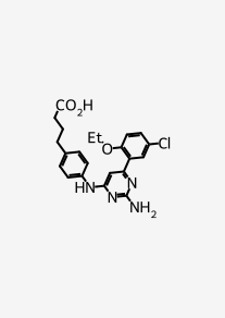 CCOc1ccc(Cl)cc1-c1cc(Nc2ccc(CCCC(=O)O)cc2)nc(N)n1